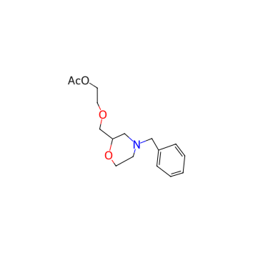 CC(=O)OCCOCC1CN(Cc2ccccc2)CCO1